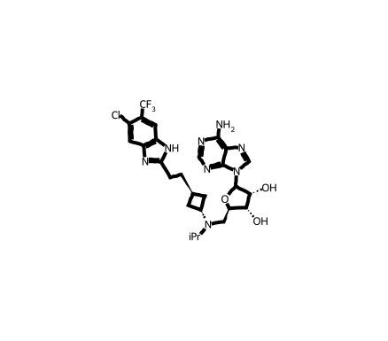 CC(C)N(C[C@H]1OC(n2cnc3c(N)ncnc32)[C@H](O)[C@@H]1O)[C@H]1C[C@H](CCc2nc3cc(Cl)c(C(F)(F)F)cc3[nH]2)C1